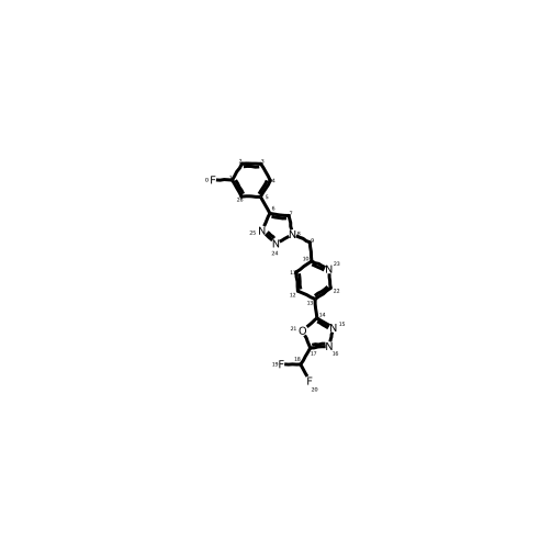 Fc1cccc(-c2cn(Cc3ccc(-c4nnc(C(F)F)o4)cn3)nn2)c1